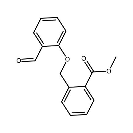 COC(=O)c1ccccc1COc1ccccc1C=O